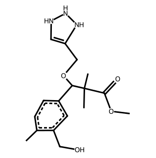 COC(=O)C(C)(C)C(OCC1=CNNN1)c1ccc(C)c(CO)c1